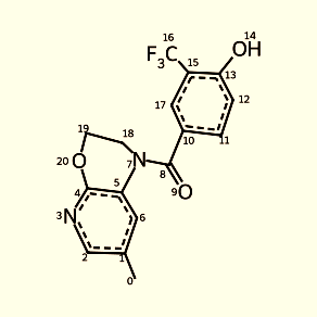 Cc1cnc2c(c1)N(C(=O)c1ccc(O)c(C(F)(F)F)c1)CCO2